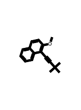 COc1ccc2ccccc2c1C#CC(C)(C)C